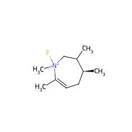 CC1=CC[C@H](C)C(C)C[N+]1(C)F